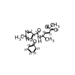 Cc1ncc(C(=O)NC(C)C=CS(C)(=O)=O)c(Oc2ccccc2)n1